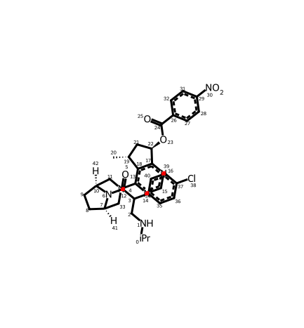 CC(C)NCC(C(=O)N1[C@@H]2CC[C@H]1CN(c1ncnc3c1[C@H](C)C[C@H]3OC(=O)c1ccc([N+](=O)[O-])cc1)C2)c1ccc(Cl)cc1